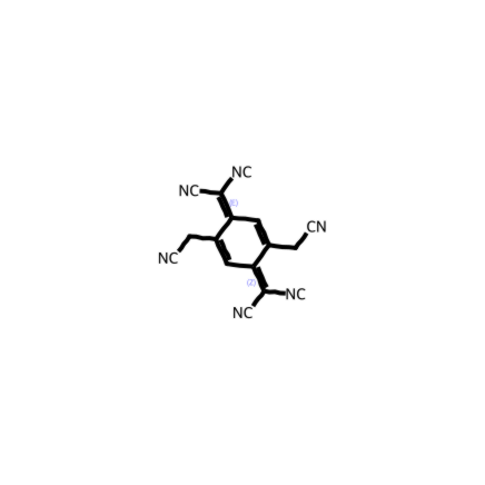 [C-]#[N+]/C(C#N)=c1/cc(CC#N)/c(=C(\C#N)[N+]#[C-])cc1CC#N